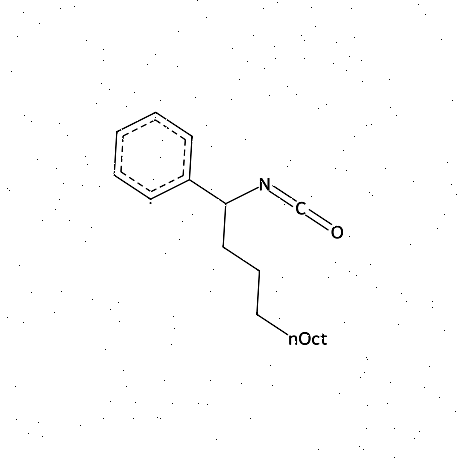 CCCCCCCCCCCC(N=C=O)c1[c]cccc1